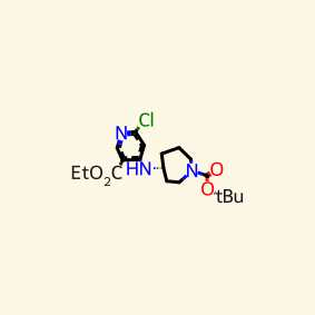 CCOC(=O)c1cnc(Cl)cc1N[C@@H]1CCCN(C(=O)OC(C)(C)C)CC1